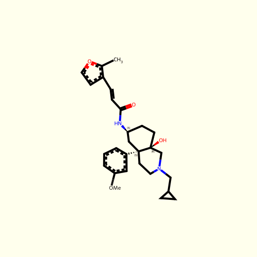 COc1cccc([C@@]23CCN(CC4CC4)C[C@@]2(O)CC[C@H](NC(=O)C=Cc2ccoc2C)C3)c1